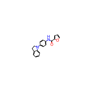 O=C(Nc1ccc(N2CCc3ccccc32)cc1)c1ccco1